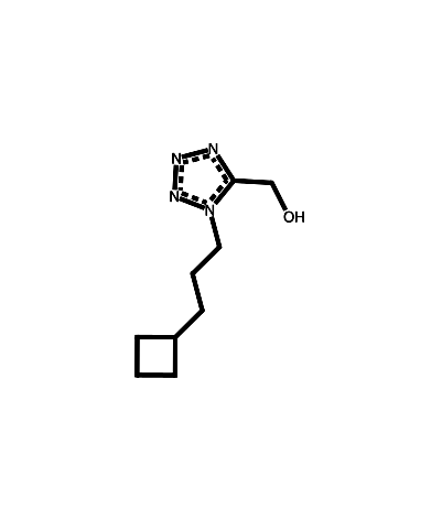 OCc1nnnn1CCCC1CCC1